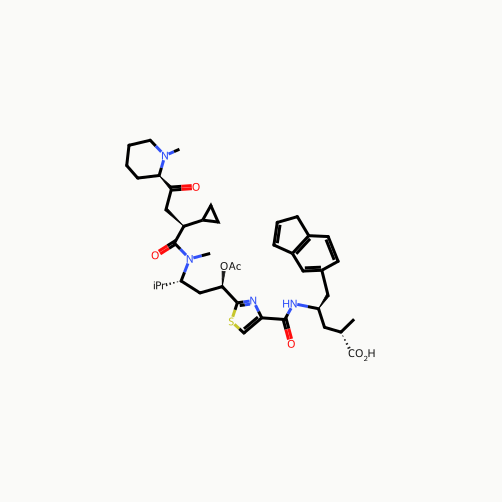 CC(=O)O[C@H](C[C@H](C(C)C)N(C)C(=O)[C@@H](CC(=O)[C@H]1CCCCN1C)C1CC1)c1nc(C(=O)N[C@@H](Cc2ccc3c(c2)C=CC3)C[C@H](C)C(=O)O)cs1